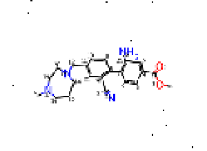 COC(=O)c1ccc(-c2ccc(CN3CCCN(C)CC3)cc2C#N)c(N)c1